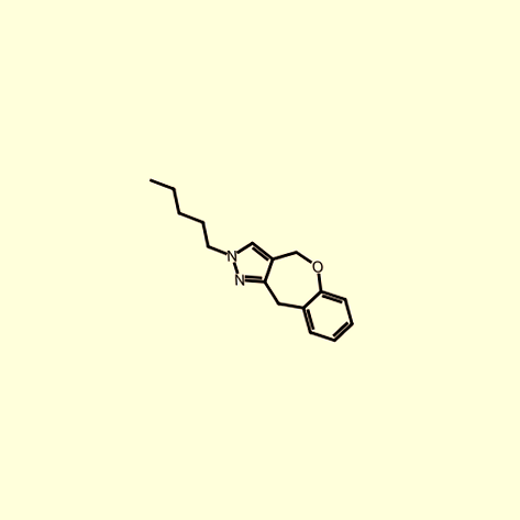 CCCCCn1cc2c(n1)Cc1ccccc1OC2